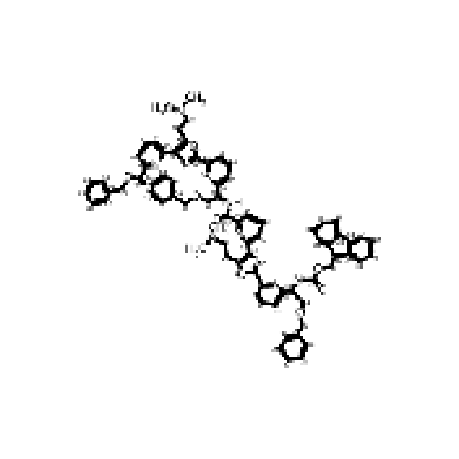 CN(C)CCc1oc(-c2cccc(C(COCc3ccccc3)NC(=O)OCC3c4ccccc4-c4ccccc43)n2)nc1-c1cccc(C(=O)NC(COCc2ccccc2)c2cccc(-c3nc(-c4cccc(C(=O)OCc5ccccc5)n4)c(CCN(C)C)o3)n2)n1